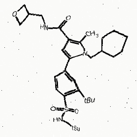 Cc1c(C(=O)NCC2COC2)cc(-c2ccc(S(=O)(=O)NC(C)(C)C)c(C(C)(C)C)c2)n1CC1CCCCC1